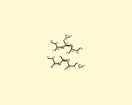 CCC(C)N=C(C)[N-]C(C)CC.CCC(C)N=C(C)[N-]C(C)CC.[Cu+].[Cu+]